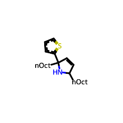 CCCCCCCCC1C=CC(CCCCCCCC)(c2cccs2)N1